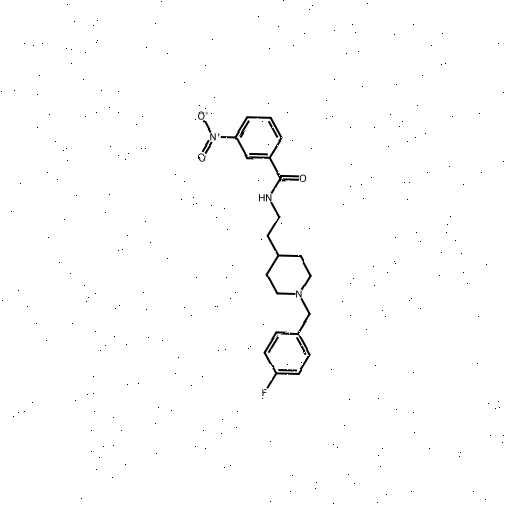 O=C(NCCC1CCN(Cc2ccc(F)cc2)CC1)c1cccc([N+](=O)[O-])c1